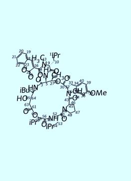 CC[C@H](C)[C@H]1NC(=O)[C@@H](NC(=O)[C@@H](CC(C)C)N(C)C(=O)c2cc3ccccc3oc2=O)[C@@H](C)OC(=O)[C@H](Cc2ccc(OC)cc2)N(C)C(=O)C2CCCN2C(=O)[C@H](CC(C)C)NC(=O)[C@H](C(C)C)OC(=O)C[C@@H]1O